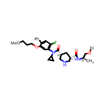 CCOC[C@@H](C)NC(=O)[C@@H]1CNC[C@H](C(=O)N(c2cc(OCCCOC)c(C(C)C)cc2F)C2CC2)C1